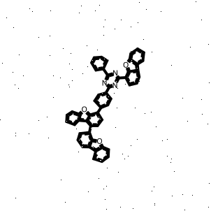 c1ccc(-c2nc(-c3ccc(-c4ccc(-c5cccc6c5oc5ccccc56)c5c4oc4ccccc45)cc3)nc(-c3cccc4c3oc3ccccc34)n2)cc1